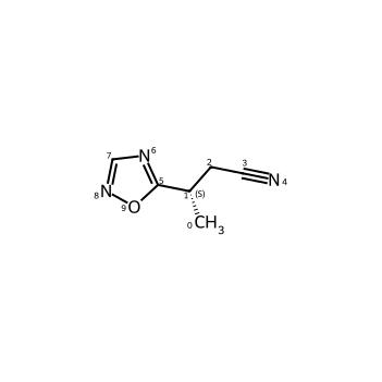 C[C@@H](CC#N)c1ncno1